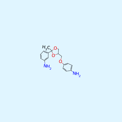 CC1(c2cccc(N)c2)OCC(COc2ccc(N)cc2)O1